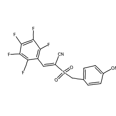 COc1ccc(CS(=O)(=O)C(C#N)=Cc2c(F)c(F)c(F)c(F)c2F)cc1